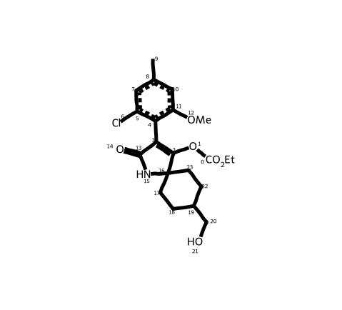 CCOC(=O)OC1=C(c2c(Cl)cc(C)cc2OC)C(=O)NC12CCC(CO)CC2